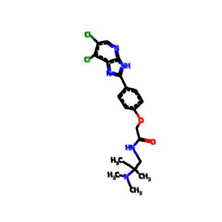 CN(C)C(C)(C)CNC(=O)COc1ccc(-c2nc3c(Cl)c(Cl)cnc3[nH]2)cc1